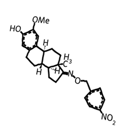 COc1cc2c(cc1O)CC[C@@H]1[C@@H]2CC[C@]2(C)/C(=N/OCc3ccc([N+](=O)[O-])cc3)CC[C@@H]12